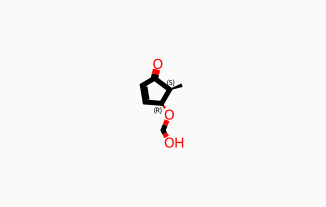 C[C@@H]1C(=O)C=C[C@H]1OCO